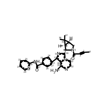 CC#CC(=O)N1C[C@H]2[C@@H]([C@H]1c1nc(-c3ccc(C(=O)Nc4ccccn4)cc3)c3c(N)nccn13)C2(C)C